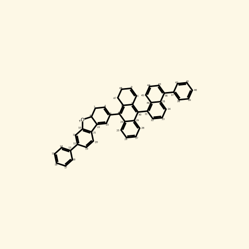 C1=Cc2c(c(C3=CCC4Oc5cc(-c6ccccc6)ccc5C4=C3)c3ccccc3c2-c2cccc3c(-c4ccccc4)cccc23)CC1